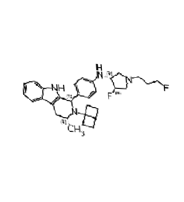 C[C@@H]1Cc2c([nH]c3ccccc23)[C@@H](c2ccc(N[C@@H]3CN(CCCF)C[C@H]3F)cc2)N1C12CCC1CC2